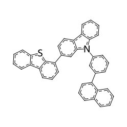 c1cc(-c2cccc3ccccc23)cc(-n2c3ccccc3c3ccc(-c4cccc5c4sc4ccccc45)cc32)c1